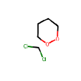 C1CCOOC1.ClCCl